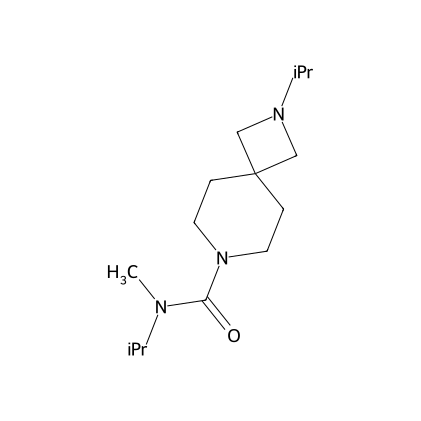 CC(C)N1CC2(CCN(C(=O)N(C)C(C)C)CC2)C1